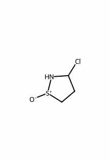 [O-][S+]1CCC(Cl)N1